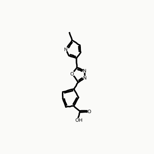 Cc1ccc(-c2nnc(-c3cccc(C(=O)O)c3)o2)cn1